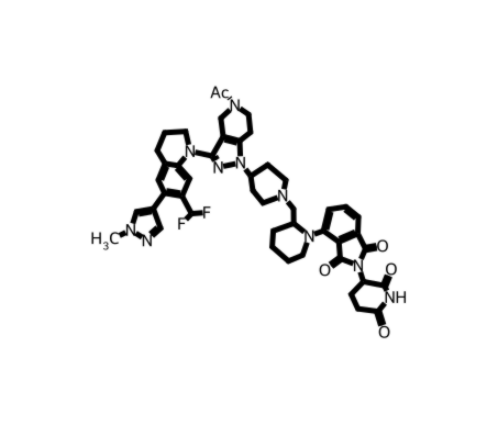 CC(=O)N1CCc2c(c(N3CCCc4cc(-c5cnn(C)c5)c(C(F)F)cc43)nn2C2CCN(CC3CCCCN3c3cccc4c3C(=O)N(C3CCC(=O)NC3=O)C4=O)CC2)C1